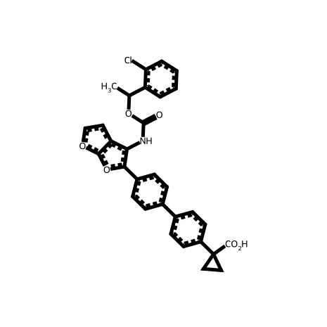 CC(OC(=O)Nc1c(-c2ccc(-c3ccc(C4(C(=O)O)CC4)cc3)cc2)oc2occc12)c1ccccc1Cl